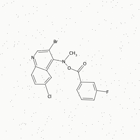 CN(OC(=O)c1cccc(F)c1)c1c(Br)cnc2ccc(Cl)cc12